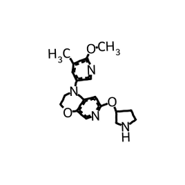 COc1ncc(N2CCOc3cnc(OC4CCNC4)cc32)cc1C